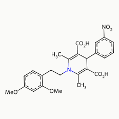 COc1ccc(CCN2C(C)=C(C(=O)O)C(c3cccc([N+](=O)[O-])c3)C(C(=O)O)=C2C)c(OC)c1